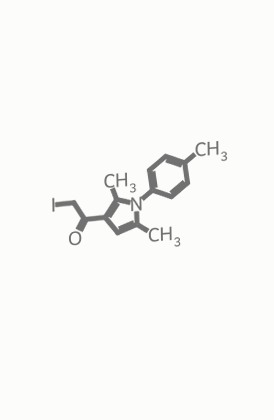 Cc1ccc(-n2c(C)cc(C(=O)CI)c2C)cc1